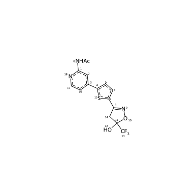 CC(=O)Nc1cc(-c2ccc(C3=NOC(O)(C(F)(F)F)C3)s2)ccn1